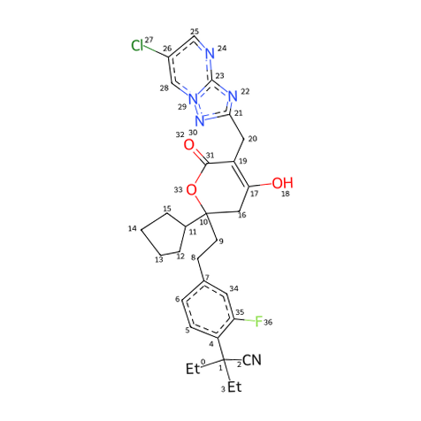 CCC(C#N)(CC)c1ccc(CCC2(C3CCCC3)CC(O)=C(Cc3nc4ncc(Cl)cn4n3)C(=O)O2)cc1F